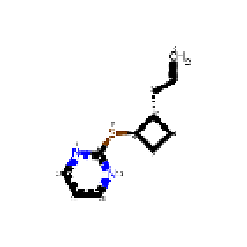 C=CC[C@@H]1CC[C@H]1Sc1ncccn1